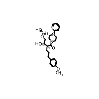 COc1ccc(CCC[C@@H](C(=O)N2CCN(c3ccccn3)CC2)[C@H](O)CONO)cc1